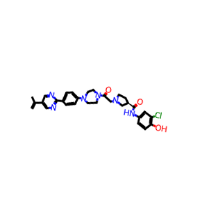 C=C(C)c1cnc(-c2ccc(N3CCN(C(=O)CN4CC[C@@H](C(=O)Nc5ccc(O)c(Cl)c5)C4)CC3)cc2)nc1